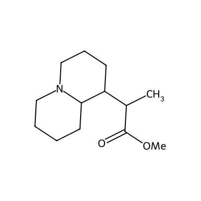 COC(=O)C(C)C1CCCN2CCCCC12